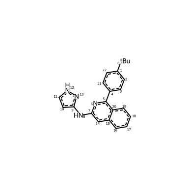 CC(C)(C)c1ccc(-c2nc(Nc3cc[nH]n3)cc3ccccc23)cc1